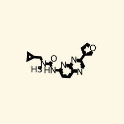 O=C(Nc1ccc2ncc(-c3ccoc3)nc2n1)N(S)CC1CC1